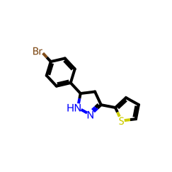 Brc1ccc(C2CC(c3cccs3)=NN2)cc1